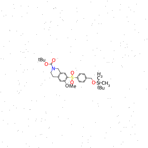 COc1cc2c(cc1S(=O)(=O)c1ccc(CO[Si](C)(C)C(C)(C)C)cc1)CN(C(=O)OC(C)(C)C)CC2